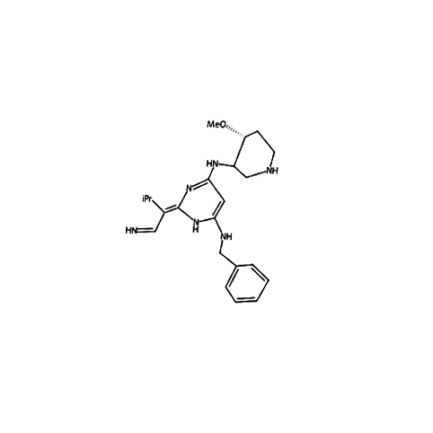 CO[C@@H]1CCNCC1NC1=N/C(=C(/C=N)C(C)C)NC(NCc2ccccc2)=C1